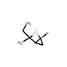 CCC1(C)B[C@@H]2CC21